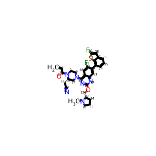 C=CC(=O)N1CCN(c2nc(OC[C@@H]3CCCN3C)nc3cc(-c4cccc5cc(F)sc45)c(F)cc23)C[C@@H]1CC#N